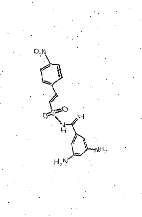 N=C(NS(=O)(=O)/C=C/c1ccc([N+](=O)[O-])cc1)c1cc(N)cc(N)c1